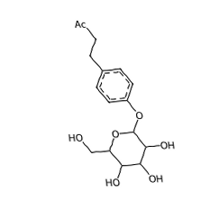 CC(=O)CCc1ccc(OC2OC(CO)C(O)C(O)C2O)cc1